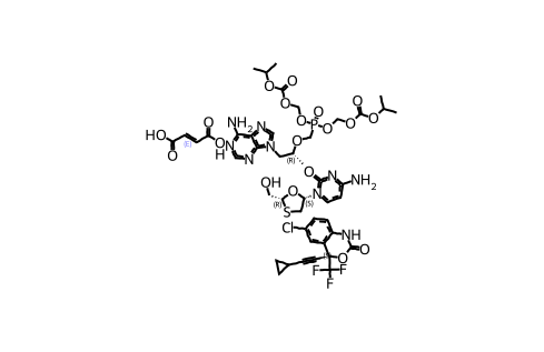 CC(C)OC(=O)OCOP(=O)(CO[C@H](C)Cn1cnc2c(N)ncnc21)OCOC(=O)OC(C)C.Nc1ccn([C@@H]2CS[C@H](CO)O2)c(=O)n1.O=C(O)/C=C/C(=O)O.O=C1Nc2ccc(Cl)cc2[C@@](C#CC2CC2)(C(F)(F)F)O1